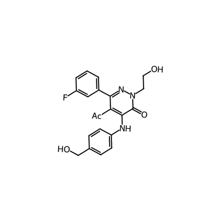 CC(=O)c1c(-c2cccc(F)c2)nn(CCO)c(=O)c1Nc1ccc(CO)cc1